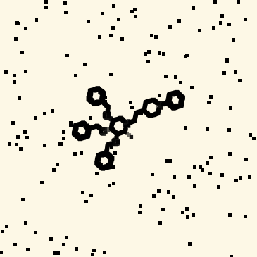 C[C@@H]1[C@@H](OCc2ccccc2)[C@H](OCc2ccccc2)[C@@H](OCc2ccccc2)CN1CCC1CCN(c2ccccc2)CC1